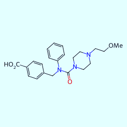 COCCN1CCN(C(=O)N(Cc2ccc(C(=O)O)cc2)c2ccccc2)CC1